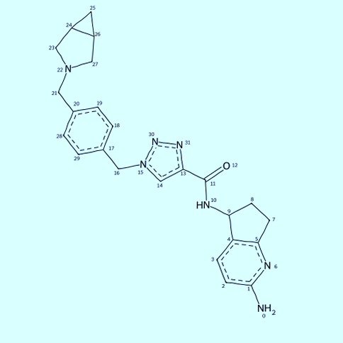 Nc1ccc2c(n1)CCC2NC(=O)c1cn(Cc2ccc(CN3CC4CC4C3)cc2)nn1